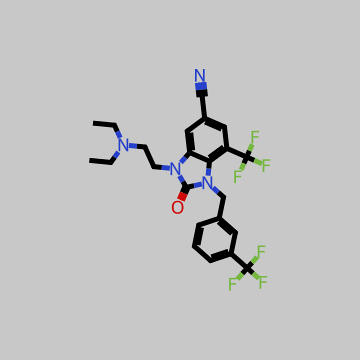 CCN(CC)CCn1c(=O)n(Cc2cccc(C(F)(F)F)c2)c2c(C(F)(F)F)cc(C#N)cc21